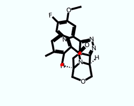 COc1cc(-c2nnc3n2C[C@@H]2COC[C@H]3N2C(=O)c2cccc(C)c2C)ncc1F